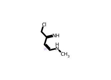 CN/C=C\C(=N)CCl